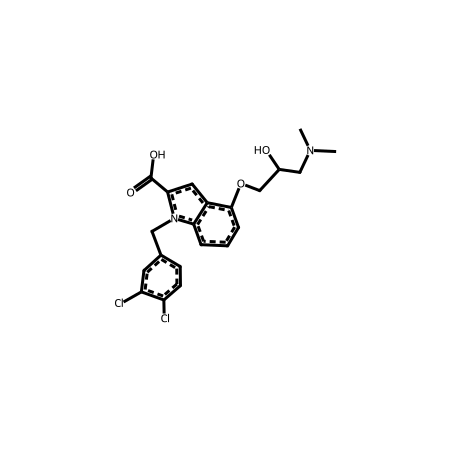 CN(C)CC(O)COc1cccc2c1cc(C(=O)O)n2Cc1ccc(Cl)c(Cl)c1